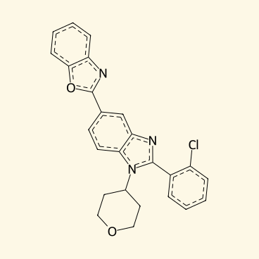 Clc1ccccc1-c1nc2cc(-c3nc4ccccc4o3)ccc2n1C1CCOCC1